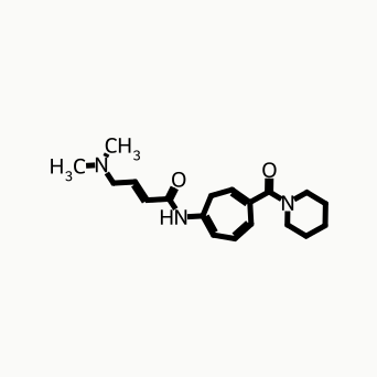 CN(C)C/C=C/C(=O)NC1=CC=CC(C(=O)N2CCCCC2)=CC1